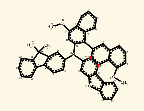 COc1cccc2cc(-c3c(N(c4ccc5c(c4)C(C)(C)c4ccccc4-5)c4ccc5c(c4)oc4ccccc45)cc(OC)c4ccccc34)ccc12